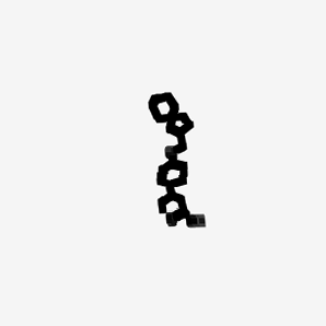 CCC(CC(=O)O)C1C=CC(OCC2=CC3(CCCCC3)CC2)=CC1